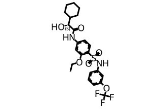 CCOc1cc(NC(=O)[C@@H](O)C2CCCCC2)ccc1S(=O)(=O)Nc1cccc(OC(F)(F)F)c1